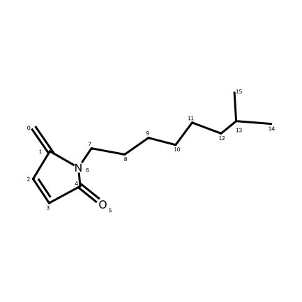 C=C1C=CC(=O)N1CCCCCCC(C)C